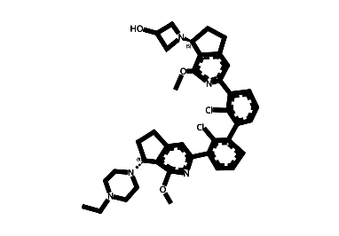 CCN1CCN([C@@H]2CCc3cc(-c4cccc(-c5cccc(-c6cc7c(c(OC)n6)[C@@H](N6CC(O)C6)CC7)c5Cl)c4Cl)nc(OC)c32)CC1